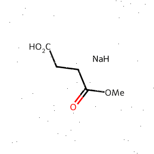 COC(=O)CCC(=O)O.[NaH]